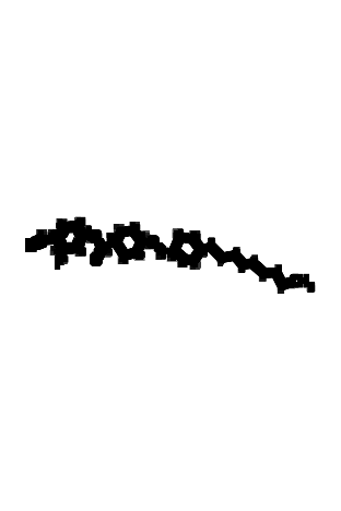 CCCCCCCCC[C@H]1CC[C@H](CO[C@H]2CC[C@H](C(=O)Oc3ccc(C#N)c(F)c3)CC2)CC1